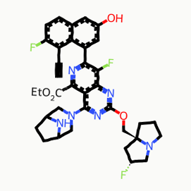 C#Cc1c(F)ccc2cc(O)cc(-c3nc(C(=O)OCC)c4c(N5CC6CCC(C5)N6)nc(OC[C@@]56CCCN5C[C@H](F)C6)nc4c3F)c12